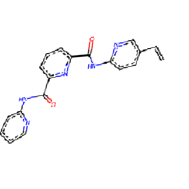 C=Cc1ccc(NC(=O)c2cccc(C(=O)Nc3ccccn3)n2)nc1